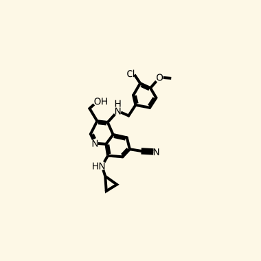 COc1ccc(CNc2c(CO)cnc3c(NC4CC4)cc(C#N)cc23)cc1Cl